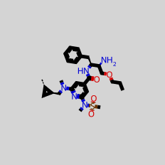 CCCOC[C@H](N)[C@H](Cc1ccccc1)NC(=O)c1cc(N(C)C[C@H]2C[C@@H]2C)nc(N(C)S(C)(=O)=O)c1